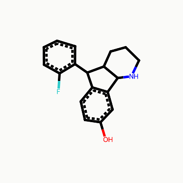 Oc1ccc2c(c1)C1NCCCC1C2c1ccccc1F